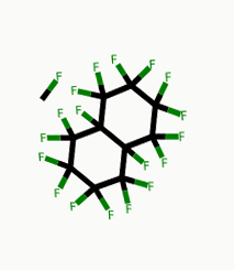 CF.FC1(F)C(F)(F)C(F)(F)C2(F)C(F)(F)C(F)(F)C(F)(F)C(F)(F)C2(F)C1(F)F